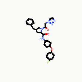 O=C(Nc1ccc(Oc2ccc(F)cc2)cc1)C1CC(Cc2ccccc2)CN1C(=O)Cn1ccnn1